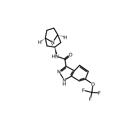 CN1[C@@H]2CC[C@H]1C[C@@H](NC(=O)c1n[nH]c3cc(OC(F)(F)F)ccc13)C2